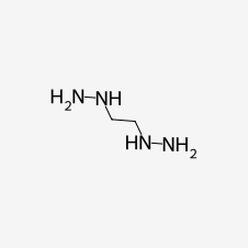 NNCCNN